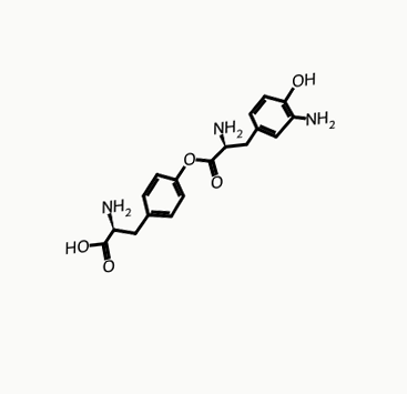 Nc1cc(C[C@H](N)C(=O)Oc2ccc(C[C@H](N)C(=O)O)cc2)ccc1O